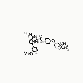 COc1cc(-c2ccc3c(N)nc(C(=O)N[C@H]4CC[C@H](OC5CCOC(C)(C)C5)CC4)nn23)ccn1